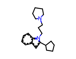 c1ccc2c(c1)cc(C1CCCC1)n2CCCN1CCCCC1